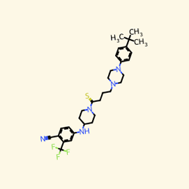 CC(C)(C)c1ccc(N2CCN(CCCC(=S)N3CCC(Nc4ccc(C#N)c(C(F)(F)F)c4)CC3)CC2)cc1